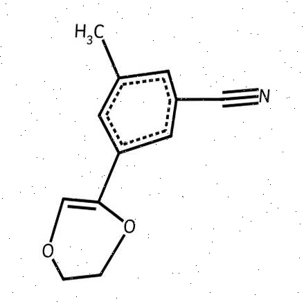 Cc1cc(C#N)cc(C2=COCCO2)c1